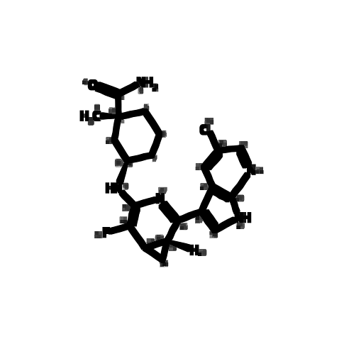 C[C@@]1(C(N)=O)CCC[C@@H](NC2=C(F)C3C[C@H]3C(c3c[nH]c4ncc(Cl)cc34)=N2)C1